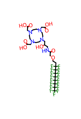 O=C(O)CN1CCN(CC(=O)O)CCN(CC(O)CNC(=O)COCCC(F)(F)C(F)(F)C(F)(F)C(F)(F)C(F)(F)C(F)(F)C(F)(F)C(F)(F)F)CCN(CC(=O)O)CC1